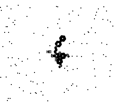 COc1ccc(C2(c3ccc(OC)cc3)NC(=O)N(CCCN3CCC(c4ccccc4)CC3)C2=O)cc1.Cl